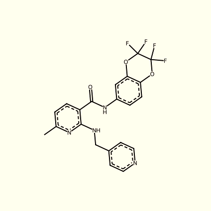 Cc1ccc(C(=O)Nc2ccc3c(c2)OC(F)(F)C(F)(F)O3)c(NCc2ccncc2)n1